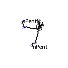 CCCCC/C=C\C/C=C\CCCCCCCCC1(CCCCCCCC/C=C\C/C=C\CCCCC)OC2C(O1)[C@@H](CN(C)C)O[C@H]2C